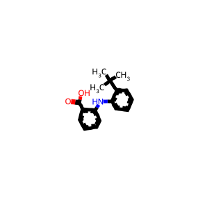 CC(C)(C)c1ccccc1Nc1ccccc1C(=O)O